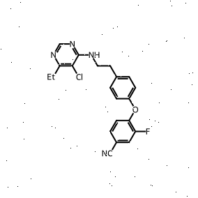 CCc1ncnc(NCCc2ccc(Oc3ccc(C#N)cc3F)cc2)c1Cl